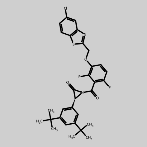 CC(C)(C)c1cc([C@H]2C(=O)N2C(=O)c2c(F)ccc(OCc3nc4cc(Cl)ccc4s3)c2F)cc(C(C)(C)C)c1